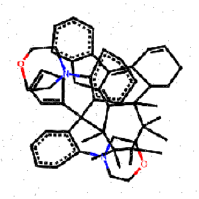 CC12C(=C3Cc4ccccc4C3=C3C=CCCC31)C(C)(C(C1=CC=CC1)(c1ccccc1N1CCOCC1)c1ccccc1N1CCOCC1)C(C)(C)C(C)(C)C2(C)C